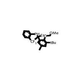 CCC(C)(Pc1ccccc1C(F)(F)F)c1cc(C)cc(C(C)(C)C)c1OCOC